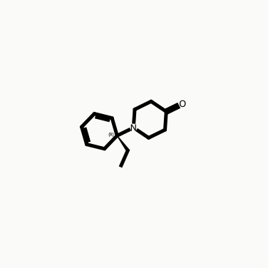 CC[C@]1(N2CCC(=O)CC2)C=CC=CC1